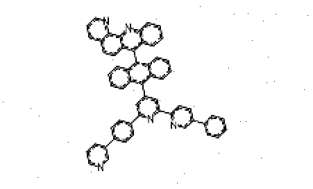 c1ccc(-c2ccc(-c3cc(-c4c5ccccc5c(-c5c6ccccc6nc6c5ccc5cccnc56)c5ccccc45)cc(-c4ccc(-c5cccnc5)cc4)n3)nc2)cc1